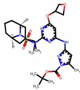 CCS(=O)(=O)N1[C@@H]2CCC[C@H]1CC(N(C)c1nc(Nc3cc(C)n(C(=O)OC(C)(C)C)n3)cc(OC3COC3)n1)C2